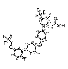 CC1CN(c2cc(OCC(F)(F)F)ccc2F)CCC1Oc1ccc(N2N=C(C(F)(F)F)[C@@H](C)[C@@H]2CC(=O)O)cc1